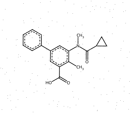 Cc1c(C(=O)O)cc(-c2ccccc2)cc1N(C)C(=O)C1CC1